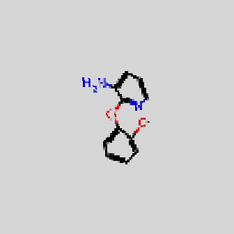 Nc1cccnc1Oc1ccccc1[O]